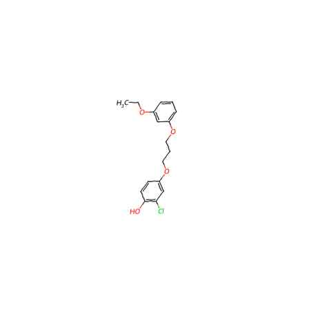 CCOc1cccc(OCCCOc2ccc(O)c(Cl)c2)c1